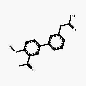 COc1ccc(-c2cccc(CC(=O)O)c2)cc1C(C)=O